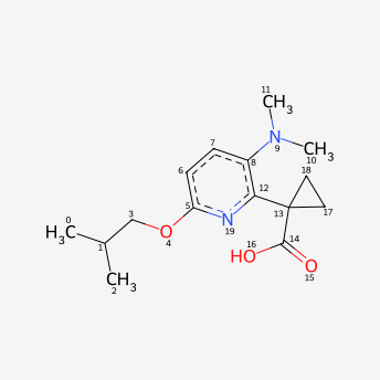 CC(C)COc1ccc(N(C)C)c(C2(C(=O)O)CC2)n1